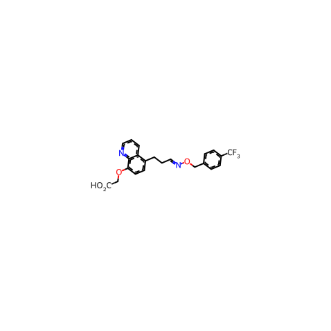 O=C(O)COc1ccc(CCC=NOCc2ccc(C(F)(F)F)cc2)c2cccnc12